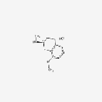 CN[C@H]1CCc2cccc(OC)c2C1.Cl